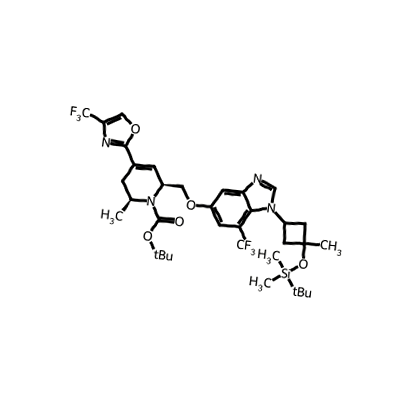 C[C@H]1CC(c2nc(C(F)(F)F)co2)=C[C@@H](COc2cc(C(F)(F)F)c3c(c2)ncn3C2CC(C)(O[Si](C)(C)C(C)(C)C)C2)N1C(=O)OC(C)(C)C